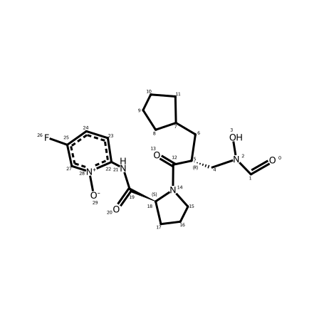 O=CN(O)C[C@@H](CC1CCCC1)C(=O)N1CCC[C@H]1C(=O)Nc1ccc(F)c[n+]1[O-]